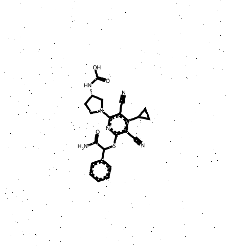 N#Cc1c(SC(C(N)=O)c2ccccc2)nc(N2CC[C@H](NC(=O)O)C2)c(C#N)c1C1CC1